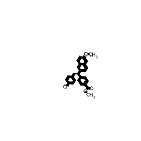 COC(=O)c1ccc([C@@H](Cc2ccc(Cl)cc2)c2ccc3cc(OC)ccc3c2)cc1